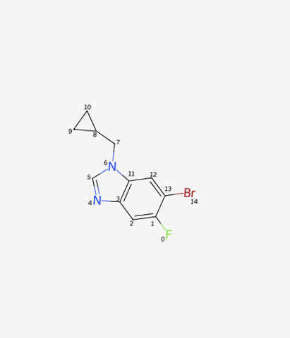 Fc1cc2ncn(CC3CC3)c2cc1Br